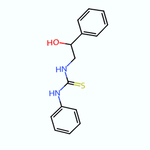 OC(CNC(=S)Nc1ccccc1)c1ccccc1